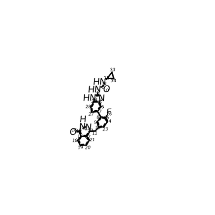 O=C(Nc1nc2cc(-c3cc(Cc4n[nH]c(=O)c5ccccc45)ccc3F)ccc2[nH]1)NC1CC1